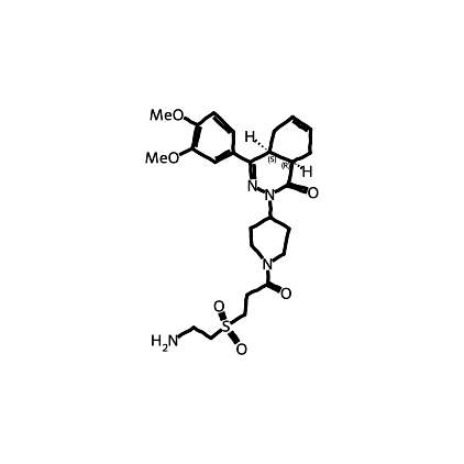 COc1ccc(C2=NN(C3CCN(C(=O)CCS(=O)(=O)CCN)CC3)C(=O)[C@@H]3CC=CC[C@H]23)cc1OC